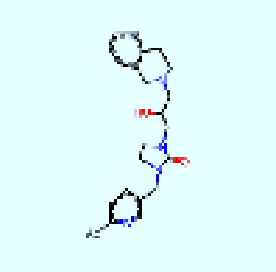 CC(=O)c1ccc(CN2CCN(CC(O)CN3CCc4ccccc4C3)C2=O)cn1